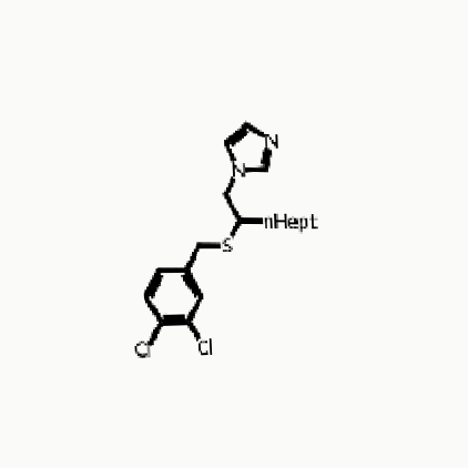 CCCCCCCC(Cn1ccnc1)SCc1ccc(Cl)c(Cl)c1